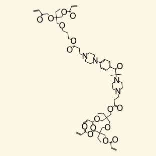 C=CC(=O)COC(CC)(COCCCOC(=O)CCN1CCN(c2ccc(C(=O)C(C)(C)N3CCN(CCC(=O)OCC(CC)(COCC(CC)(COC(=O)C=C)COC(=O)C=C)COC(=O)C=C)CC3)cc2)CC1)COC(=O)C=C